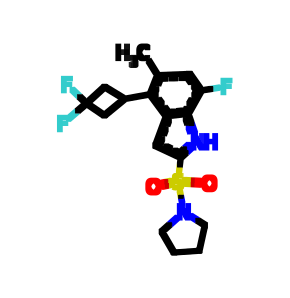 Cc1cc(F)c2[nH]c(S(=O)(=O)N3CCCC3)cc2c1C1CC(F)(F)C1